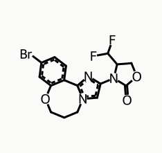 O=C1OCC(C(F)F)N1c1cn2c(n1)-c1ccc(Br)cc1OCCC2